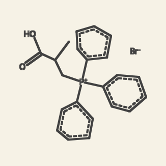 CC(C[P+](c1ccccc1)(c1ccccc1)c1ccccc1)C(=O)O.[Br-]